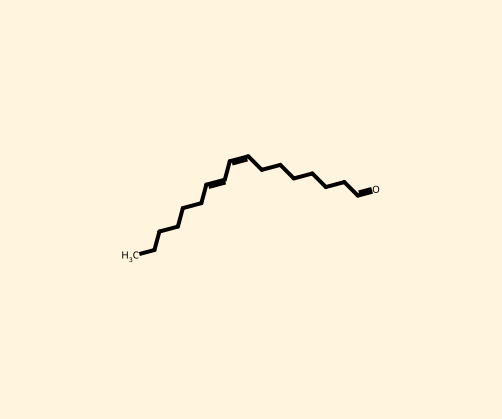 CCCCCC/C=C/C=C\CCCCCCC=O